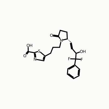 O=C(O)c1ncc(CCCN2C(=O)CC[C@@H]2C=CC(O)C(F)(F)c2ccccc2)s1